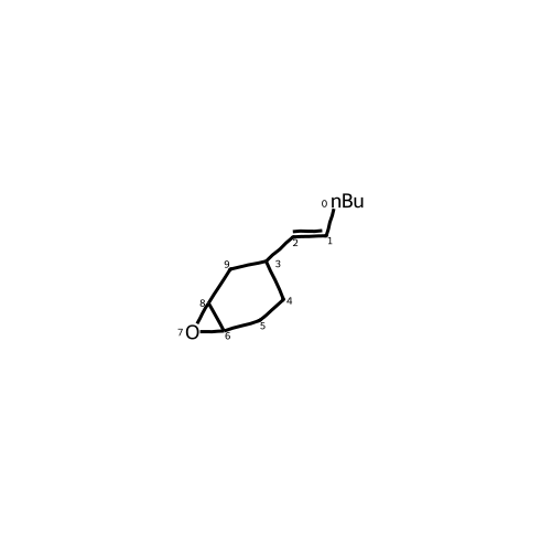 CCCCC=CC1CCC2OC2C1